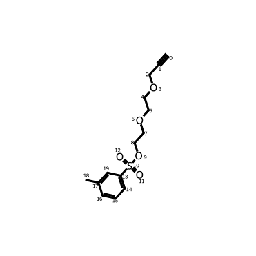 C#CCOCCOCCOS(=O)(=O)c1cccc(C)c1